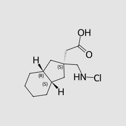 O=C(O)C[C@@]1(CNCl)C[C@H]2CCCC[C@H]2C1